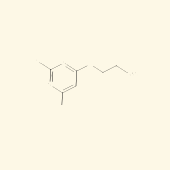 CNCCOc1cc(Cl)nc(N)n1